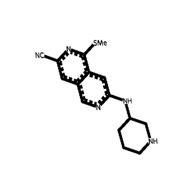 CSc1nc(C#N)cc2cnc(NC3CCCNC3)cc12